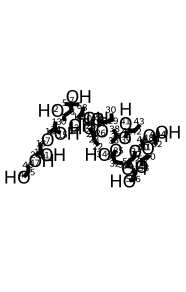 CC(O)CC(C)(C)O.CC(O)CO.CC(O)COCC(C)O.CCC(O)OC(O)CC.CCC(O)OCC(C)OC(O)CC.OCCO.OCCOCCO.OCCOCCOCCO